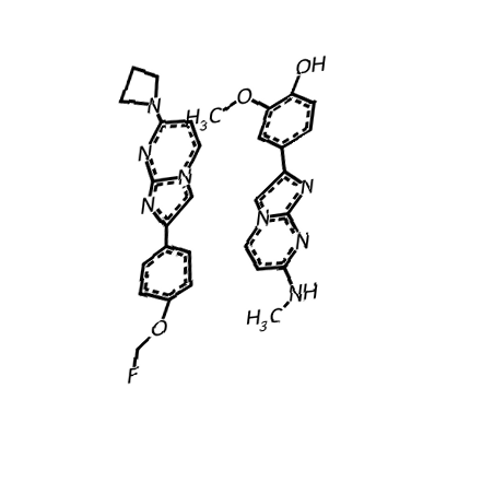 CNc1ccn2cc(-c3ccc(O)c(OC)c3)nc2n1.FCOc1ccc(-c2cn3ccc(N4CCC4)nc3n2)cc1